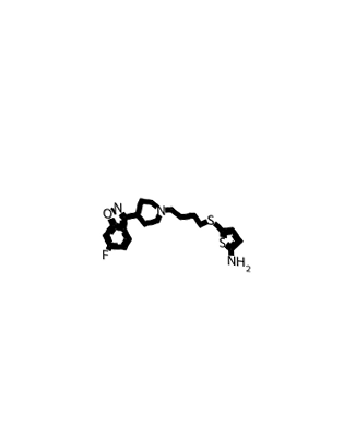 Nc1ccc(SCCCCN2CCC(c3noc4cc(F)ccc34)CC2)s1